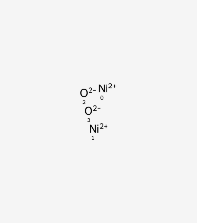 [Ni+2].[Ni+2].[O-2].[O-2]